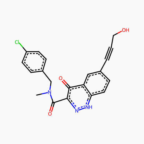 CN(Cc1ccc(Cl)cc1)C(=O)c1n[nH]c2ccc(C#CCO)cc2c1=O